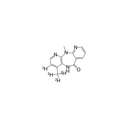 [2H]c1cnc2c(c1C([2H])([2H])[2H])NC(=O)c1cccnc1N2C